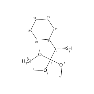 COC(OC)(O[SiH3])[C@@H](S)C1CCCCC1